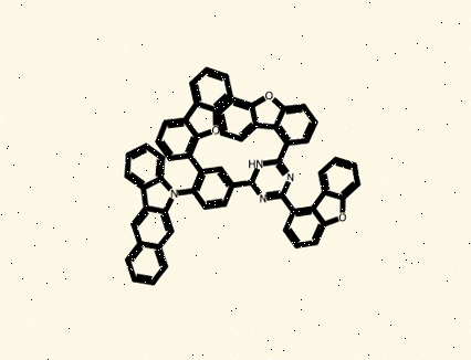 c1ccc2cc3c(cc2c1)c1ccccc1n3-c1ccc(C2N=C(c3cccc4oc5ccccc5c34)N=C(c3cccc4oc5ccccc5c34)N2)cc1-c1cccc2c1oc1ccccc12